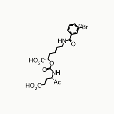 CC(=O)[C@H](CCC(=O)O)NC(=O)O[C@@H](CCCCNC(=O)c1cccc([77Br])c1)C(=O)O